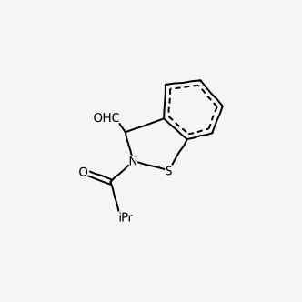 CC(C)C(=O)N1Sc2ccccc2C1C=O